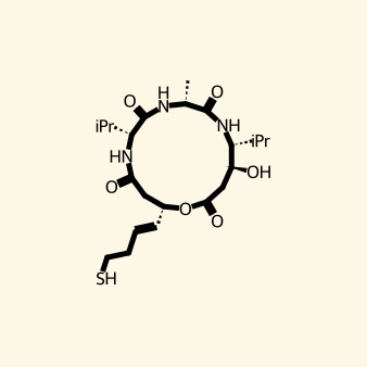 CC(C)[C@H]1NC(=O)[C@@H](C)NC(=O)[C@@H](C(C)C)NC(=O)C[C@@H](/C=C/CCS)OC(=O)C[C@@H]1O